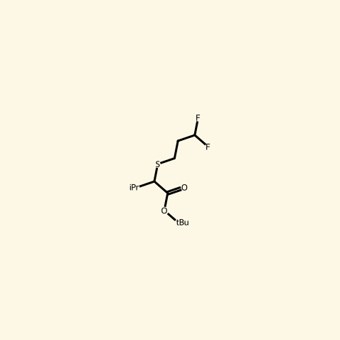 CC(C)C(SCCC(F)F)C(=O)OC(C)(C)C